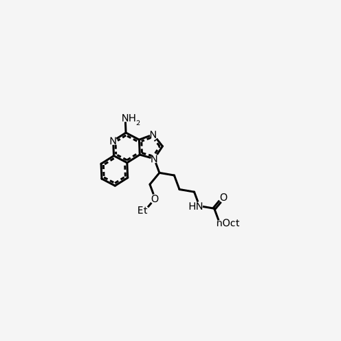 CCCCCCCCC(=O)NCCCC(COCC)n1cnc2c(N)nc3ccccc3c21